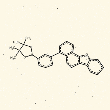 CC1(C)OB(c2cccc(-c3cccc4c3ccc3c5ccccc5oc43)c2)OC1(C)C